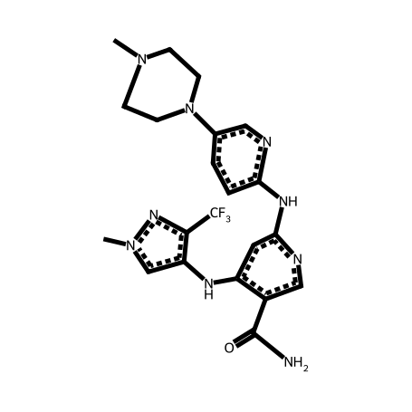 CN1CCN(c2ccc(Nc3cc(Nc4cn(C)nc4C(F)(F)F)c(C(N)=O)cn3)nc2)CC1